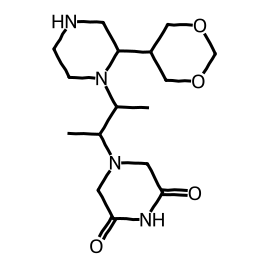 CC(C(C)N1CCNCC1C1COCOC1)N1CC(=O)NC(=O)C1